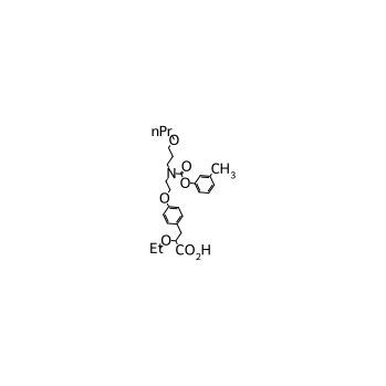 CCCOCCCN(CCOc1ccc(CC(OCC)C(=O)O)cc1)C(=O)Oc1cccc(C)c1